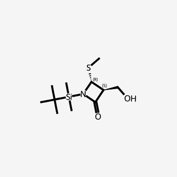 CS[C@@H]1[C@@H](CO)C(=O)N1[Si](C)(C)C(C)(C)C